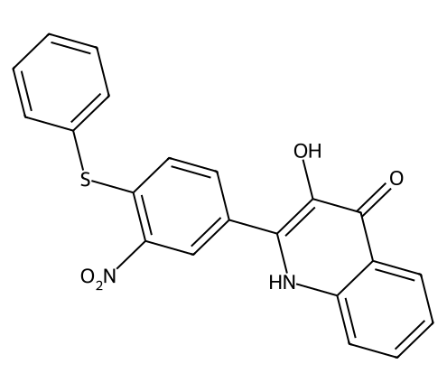 O=c1c(O)c(-c2ccc(Sc3ccccc3)c([N+](=O)[O-])c2)[nH]c2ccccc12